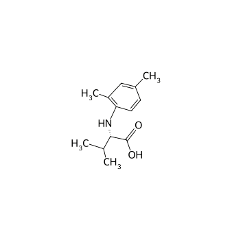 Cc1ccc(N[C@H](C(=O)O)C(C)C)c(C)c1